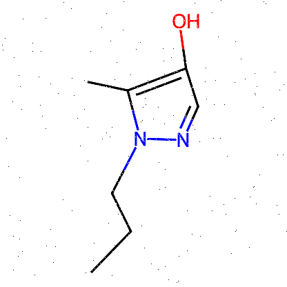 CCCn1ncc(O)c1C